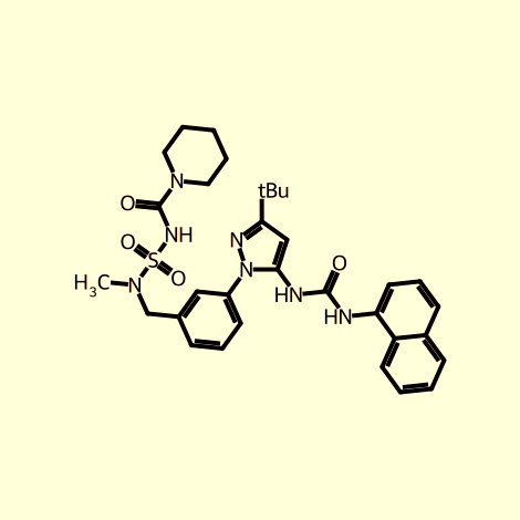 CN(Cc1cccc(-n2nc(C(C)(C)C)cc2NC(=O)Nc2cccc3ccccc23)c1)S(=O)(=O)NC(=O)N1CCCCC1